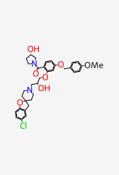 COc1ccc(COc2ccc(C(=O)N3CC[C@H](O)C3)c(OC[C@@H](O)CN3CCC4(CC3)Cc3cc(Cl)ccc3O4)c2)cc1